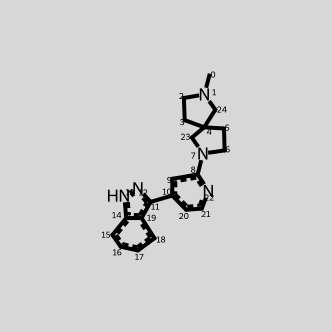 CN1CCC2(CCN(c3cc(-c4n[nH]c5ccccc45)ccn3)C2)C1